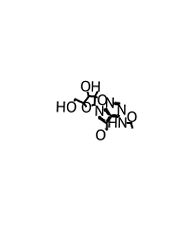 COC1(C)C(O)C(CO)O[C@H]1n1cc(C=O)c2c(NC(C)=O)ncnc21